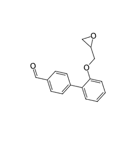 O=Cc1ccc(-c2ccccc2OCC2CO2)cc1